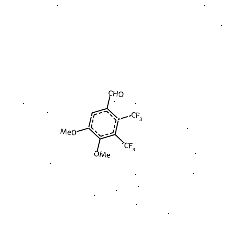 COc1cc(C=O)c(C(F)(F)F)c(C(F)(F)F)c1OC